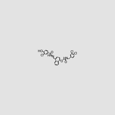 O=C(COc1ccc(C=NNC(=O)c2ccc(O)c(Cl)c2)c2ccccc12)NCc1ccc(Cl)c(Cl)c1